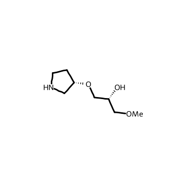 COC[C@@H](O)CO[C@H]1CCNC1